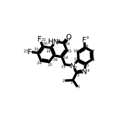 CC(C)c1nc2ccc(F)cc2n1Cc1cc(=O)[nH]c2c(F)c(F)ccc12